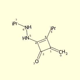 C=C1C(=O)C(NNC(C)C)=C1C(C)C